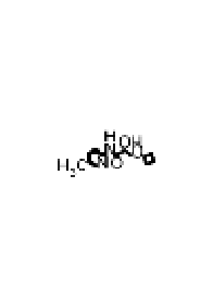 Cc1ccc(NC(=O)C(O)COC2CCC2)nc1